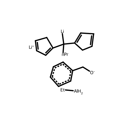 C[CH2][AlH2].[Li+].[Li][C](CCC)(C1=CC=CC1)C1=CC=CC1.[O-]Cc1ccccc1